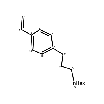 C=Cc1ccc(CCCCCCCCC)cc1